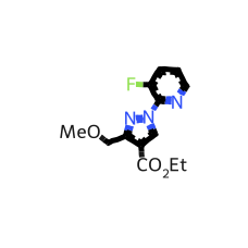 CCOC(=O)c1cn(-c2ncccc2F)nc1COC